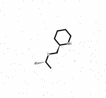 CC(C)[C@@H](C)OC[C@H]1CCCCN1